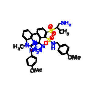 COc1ccc(CNS(=O)(=O)c2c(S(=O)(=O)[C@H](C)CN)ccc(-c3cccc4c3nc(N)n4C)c2-c2nnn(Cc3ccc(OC)cc3)n2)cc1